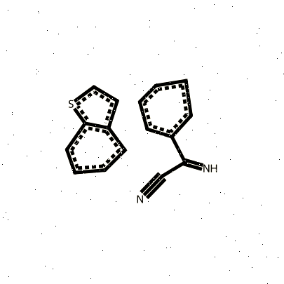 N#CC(=N)c1ccccc1.c1ccc2sccc2c1